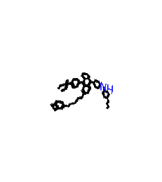 CCCCc1ccc(Nc2ccc(-c3c4ccccc4c(-c4ccc(C(C)(CC)CC)cc4)c4cc(CCCCCc5ccc6c(c5)CC6)ccc34)cc2)cc1